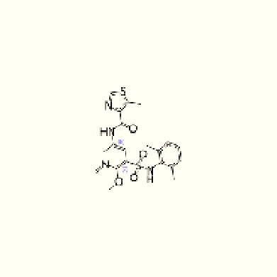 C=N/C(OC)=C(\C=C(/C)NC(=O)c1ncsc1C)S(=O)(=O)Nc1c(C)cccc1C